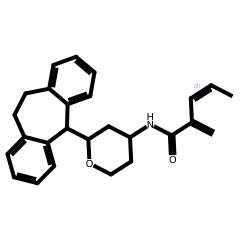 C=C(/C=C\C)C(=O)NC1CCOC(C2c3ccccc3CCc3ccccc32)C1